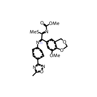 COC(=O)N=C(SC)/C(=N/c1ccc(-c2noc(C)n2)cc1)c1cc2c(c(OC)c1)OCOC2